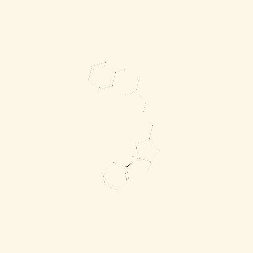 C[C@@]1(I)N=C(COCC2COc3ccccc3O2)N[C@@H]1c1ccccc1